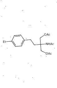 CCc1ccc(CCC(COC(C)=O)(COC(C)=O)NC(C)=O)cc1